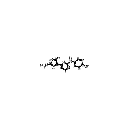 Cc1nc(N)sc1-c1ccnc(Nc2ccc(Br)cc2)n1